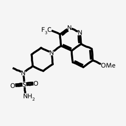 COc1ccc2c(N3CCC(N(C)S(N)(=O)=O)CC3)c(C(F)(F)F)nnc2c1